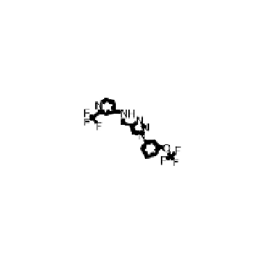 FC(F)(F)Oc1cccc(-n2cc(CNc3ccnc(C(F)(F)F)c3)nn2)c1